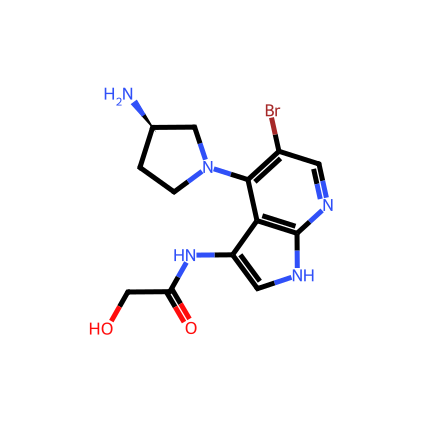 N[C@@H]1CCN(c2c(Br)cnc3[nH]cc(NC(=O)CO)c23)C1